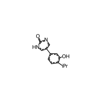 CC(C)c1ccc(-c2cnc(=O)[nH]c2)cc1O